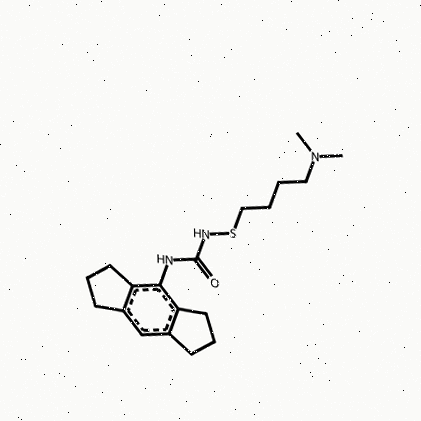 CN(C)CCCCSNC(=O)Nc1c2c(cc3c1CCC3)CCC2